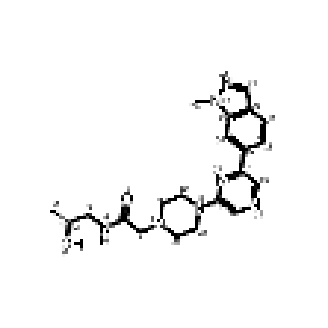 C[C@H](O)CNC(=O)CN1CCN(c2cncc(-c3ccc4cnn(C)c4c3)n2)CC1